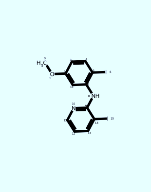 COc1ccc(I)c(Nc2ncccc2I)c1